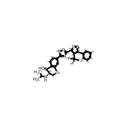 CC(C)N[C@@H]1COc2cc(-c3noc(-c4onc(-c5ccccc5)c4C(F)(F)F)n3)ccc2[C@@H]1O